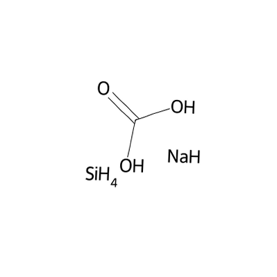 O=C(O)O.[NaH].[SiH4]